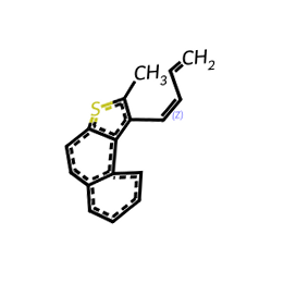 C=C/C=C\c1c(C)sc2ccc3ccccc3c12